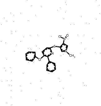 Cn1cc(Sc2ccc(Oc3ccccc3)c(-c3ccccc3)n2)c([N+](=O)[O-])c1